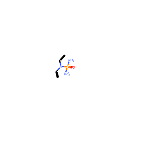 C=CN(C=C)P(N)(N)=O